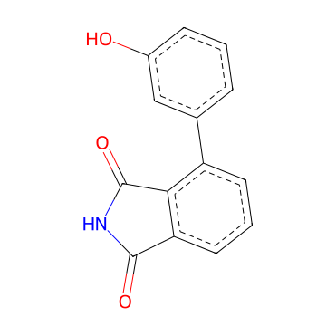 O=C1NC(=O)c2c1cccc2-c1cccc(O)c1